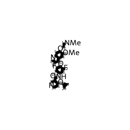 CNCCOc1cc2nccc(Oc3c(F)cc(NC(=O)c4cnccc4OC4CC4)cc3F)c2cc1OC